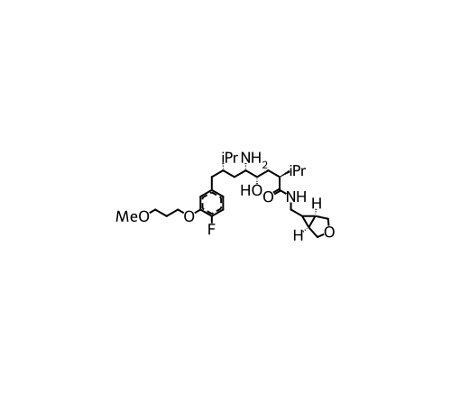 COCCCOc1cc(C[C@@H](C[C@H](N)[C@@H](O)C[C@H](C(=O)NCC2[C@H]3COC[C@@H]23)C(C)C)C(C)C)ccc1F